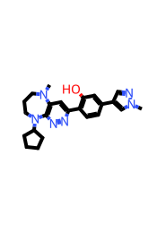 CN1CCCN(C2CCCC2)c2nnc(-c3ccc(-c4cnn(C)c4)cc3O)cc21